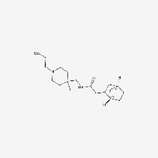 CC(C)(C)CCN1CCC(F)(CNC(=O)CC2C[C@H]3CC[C@H]2C3)CC1